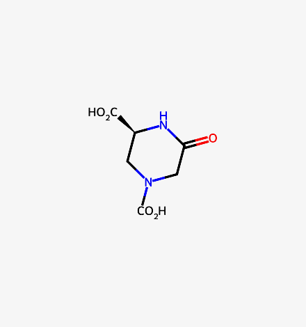 O=C1CN(C(=O)O)C[C@@H](C(=O)O)N1